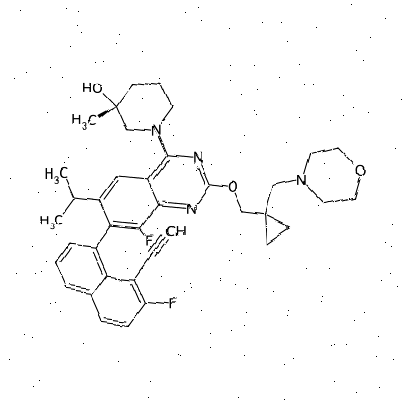 C#Cc1c(F)ccc2cccc(-c3c(C(C)C)cc4c(N5CCC[C@@](C)(O)C5)nc(OCC5(CN6CCOCC6)CC5)nc4c3F)c12